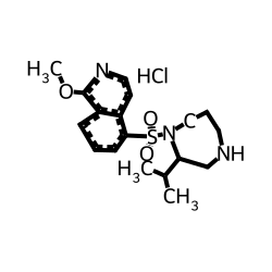 COc1nccc2c(S(=O)(=O)N3CCCNCC3C(C)C)cccc12.Cl